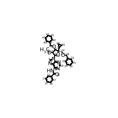 COC1C(n2cnc3c(NC(=O)c4ccccc4)ncnc32)O[C@](COCc2ccccc2)(C2CC2)C1OCc1ccccc1